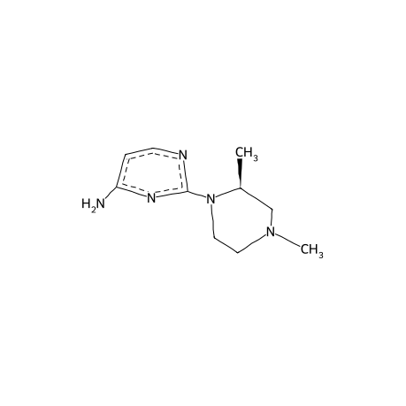 C[C@H]1CN(C)CCN1c1nccc(N)n1